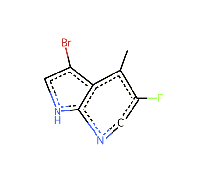 Cc1c(F)cnc2[nH]cc(Br)c12